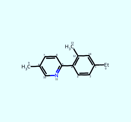 CCc1ccc(-c2ccc(C)cn2)c(C)c1